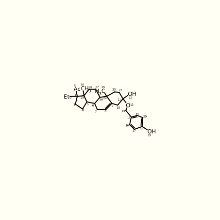 CCC1(C(C)=O)CCC2C3CC=C4CC(O)(OCc5ccc(O)cc5)CCC4(C)C3CCC21C